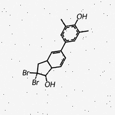 Cc1cc(C2=CC3CC(Br)(Br)C(O)C3C=C2)cc(C)c1O